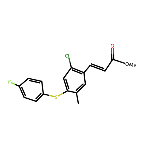 COC(=O)C=Cc1cc(C)c(Sc2ccc(F)cc2)cc1Cl